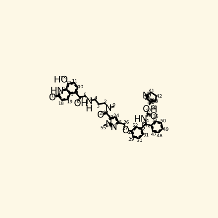 CN(CCCNC[C@H](O)c1ccc(O)c2[nH]c(=O)ccc12)C(=O)c1cc(COc2cccc([C@@H](NC(=O)O[C@H]3CN4CCC3CC4)c3ccccc3)c2)nn1C